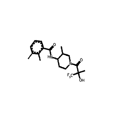 Cc1cccc(C(=O)NC2CCN(C(=O)C(C)(O)C(F)(F)F)CC2C)c1C